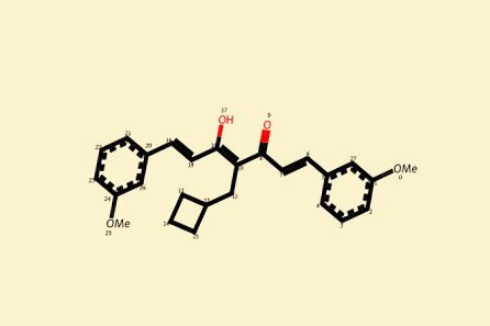 COc1cccc(/C=C/C(=O)/C(CC2CCC2)=C(O)/C=C/c2cccc(OC)c2)c1